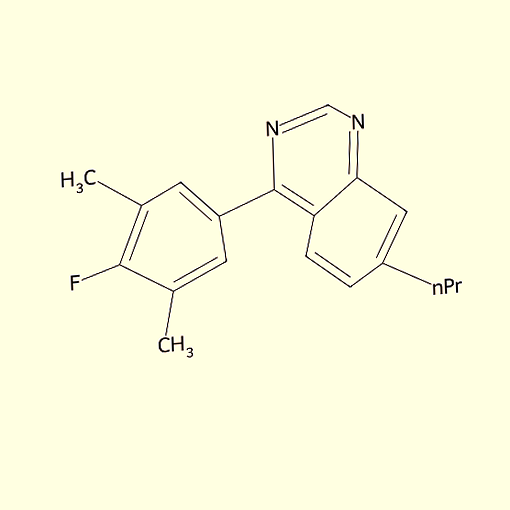 CCCc1ccc2c(-c3cc(C)c(F)c(C)c3)ncnc2c1